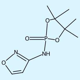 CC1(C)OP(=O)(Nc2ccon2)OC1(C)C